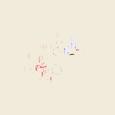 O=c1ccn([C@@H]2O[C@H](COP(=O)(O)OP(=O)(O)OP(=O)(O)SC3CCCCC3)[C@H](O)C2O)c(=O)[nH]1